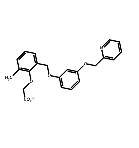 Cc1cccc(COc2cccc(OCc3ccccn3)c2)c1OCC(=O)O